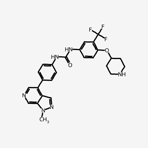 Cn1ncc2c(-c3ccc(NC(=O)Nc4ccc(OC5CCNCC5)c(C(F)(F)F)c4)cc3)cncc21